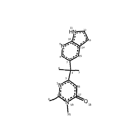 Cc1nc(C(C)(C)c2cnc3[nH]ccc3c2)cc(=O)n1C